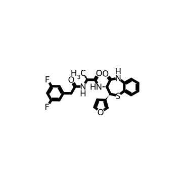 C[C@H](NC(=O)Cc1cc(F)cc(F)c1)C(=O)N[C@@H]1C(=O)Nc2ccccc2S[C@@H]1c1ccoc1